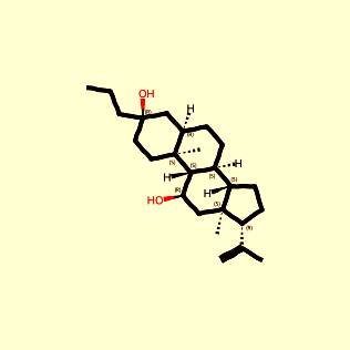 C=C(C)[C@H]1CC[C@H]2[C@@H]3CC[C@@H]4C[C@@](O)(CCC)CC[C@]4(C)[C@H]3[C@H](O)C[C@]12C